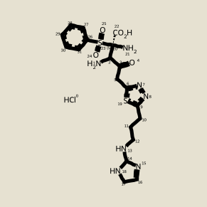 Cl.NC(C(=O)Cc1nnc(CCCNC2N=CCN2)s1)[C@@](N)(C(=O)O)S(=O)(=O)c1ccccc1